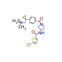 CN(C)CC1(c2ccc(C(=O)N3CCC(NC(=O)c4ccc(Cl)s4)C3)cc2)CC1